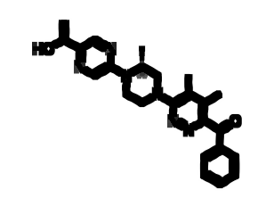 C=C(O)c1cnc(N2CCN(c3nnc(C(=O)c4ccccc4)c(C)c3C)C[C@H]2C)cn1